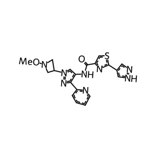 CON1CC(n2cc(NC(=O)c3csc(-c4cn[nH]c4)n3)c(-c3ccccn3)n2)C1